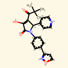 CC(C)(C)C(=O)C1=C(O)C(=O)N(c2ccc(-c3ccon3)cc2)C1c1ccncc1